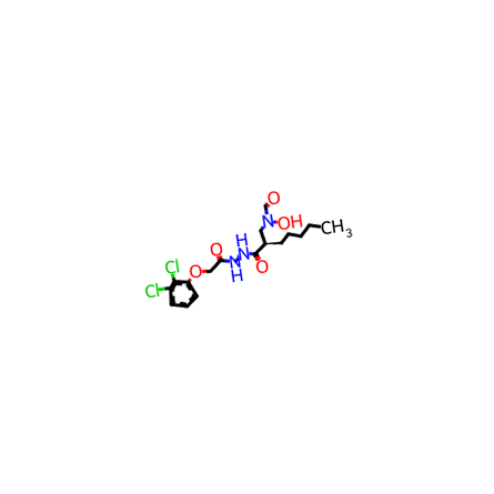 CCCCC[C@H](CN(O)C=O)C(=O)NNC(=O)COc1cccc(Cl)c1Cl